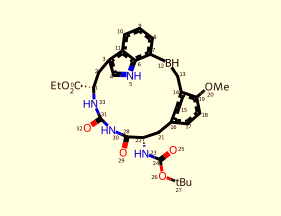 CCOC(=O)[C@@H]1Cc2c[nH]c3c(cccc23)BCc2cc(ccc2OC)C[C@H](NC(=O)OC(C)(C)C)C(=O)NC(=O)N1